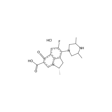 CC1CN(c2c(F)cc3c(=O)c(C(=O)O)cn4c3c2C[C@@H]4C)CC(C)N1.Cl